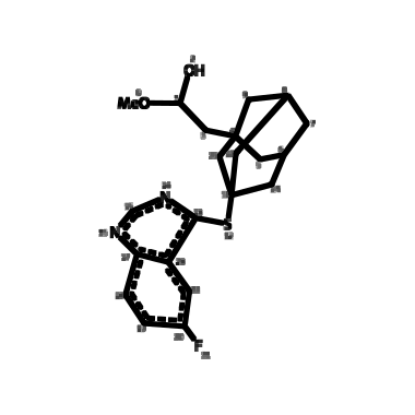 COC(O)CC12CC3CC(C1)CC(Sc1ncnc4ccc(F)cc14)(C3)C2